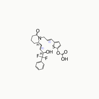 O=C(O)Oc1ccc(/C=C/CN2C(=O)CCC[C@@H]2/C=C/[C@@H](O)C(F)(F)c2ccccc2)s1